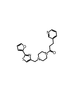 O=C(CCc1cccnc1)N1CCN(Cc2csc(-c3ccco3)n2)CC1